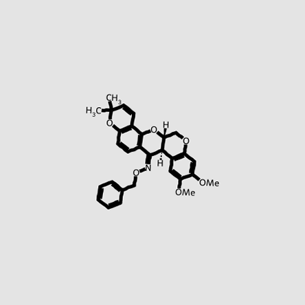 COc1cc2c(cc1OC)[C@H]1C(=NOCc3ccccc3)c3ccc4c(c3O[C@@H]1CO2)C=CC(C)(C)O4